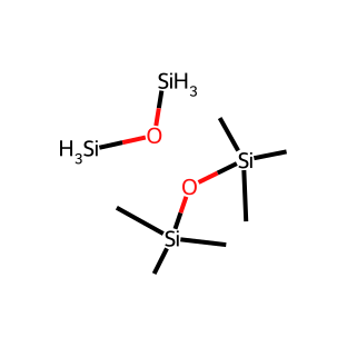 C[Si](C)(C)O[Si](C)(C)C.[SiH3]O[SiH3]